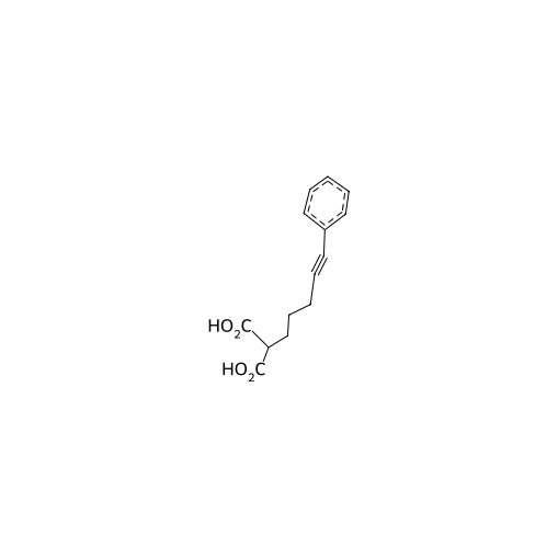 O=C(O)C(CCCC#Cc1ccccc1)C(=O)O